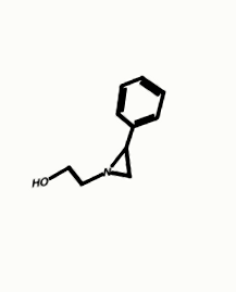 OCCN1CC1c1ccccc1